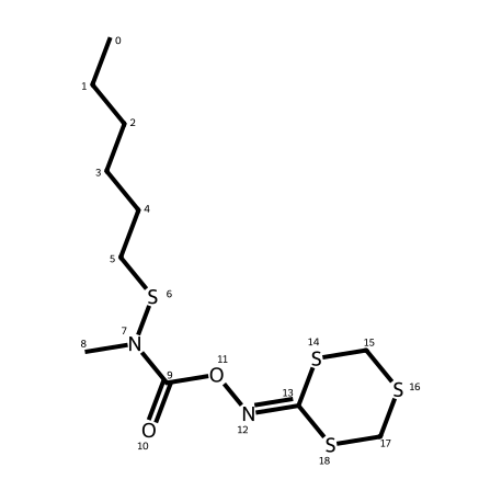 CCCCCCSN(C)C(=O)ON=C1SCSCS1